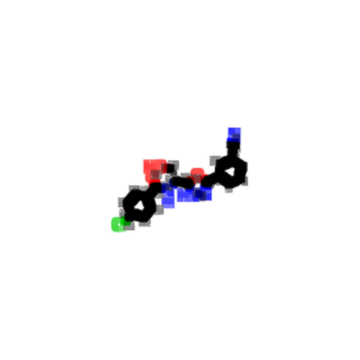 N#Cc1cccc(C2=NNC([C@@H](CO)NC(=O)c3ccc(Cl)cc3)O2)c1